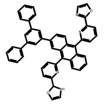 C1=COC(c2cccc(-c3c4ccccc4c(-c4cccc(-c5ncco5)n4)c4ccc(-c5cc(-c6ccccc6)cc(-c6ccccc6)c5)cc34)n2)N1